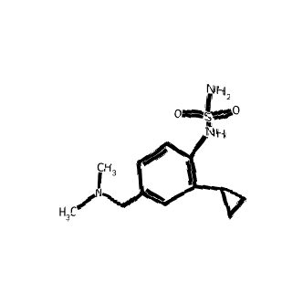 CN(C)Cc1ccc(NS(N)(=O)=O)c(C2CC2)c1